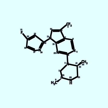 C[C@@H]1CN(c2ncc3c(C(F)(F)F)cn(-c4cc(F)ccn4)c3n2)[C@@H](C)CN1